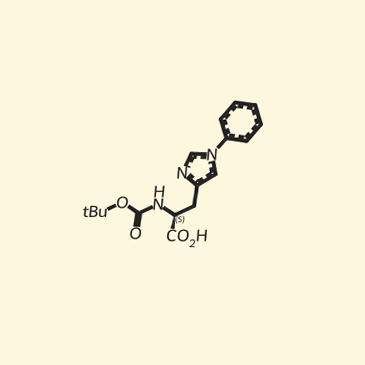 CC(C)(C)OC(=O)N[C@@H](Cc1cn(-c2ccccc2)cn1)C(=O)O